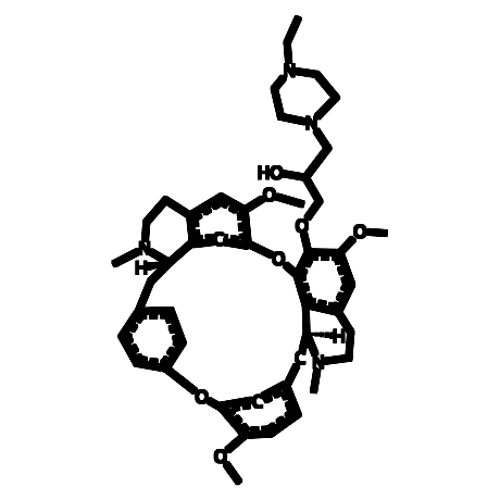 CCN1CCN(CC(O)COc2c(OC)cc3c4c2Oc2cc5c(cc2OC)CCN(C)[C@H]5Cc2ccc(cc2)Oc2cc(ccc2OC)C[C@@H]4N(C)CC3)CC1